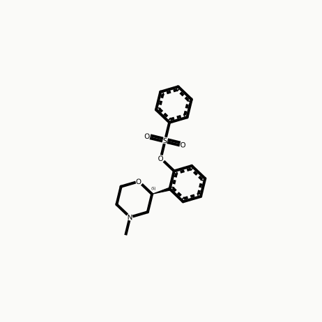 CN1CCO[C@@H](c2ccccc2OS(=O)(=O)c2ccccc2)C1